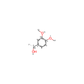 COc1ccc([C@@H](C)O)cc1OC